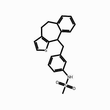 CS(=O)(=O)Nc1cccc(CC2c3ccccc3CCc3ccsc32)c1